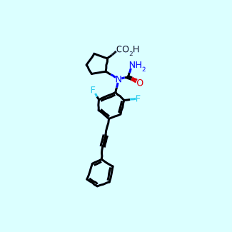 NC(=O)N(c1c(F)cc(C#Cc2ccccc2)cc1F)C1CCCC1C(=O)O